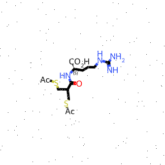 CC(=O)SCC(CSC(C)=O)C(=O)N[C@@H](CCCNC(=N)N)C(=O)O